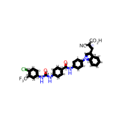 N#C/C(=C\c1cn(-c2ccc(NC(=O)c3ccc(NC(=O)Nc4ccc(Cl)c(C(F)(F)F)c4)cc3)cc2)c2ccccc12)C(=O)O